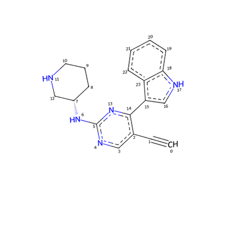 C#Cc1cnc(N[C@H]2CCCNC2)nc1-c1c[nH]c2ccccc12